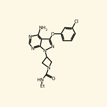 CCNC(=O)N1CC(n2nc(Oc3cccc(Cl)c3)c3c(N)ncnc32)C1